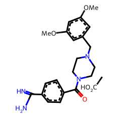 CC(=O)O.COc1cc(CN2CCN(C(=O)c3ccc(C(=N)N)cc3)CC2)cc(OC)c1